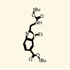 CCn1c(CNC(=O)OC(C)(C)C)nc2ccc(C(=O)OC(C)(C)C)cc21